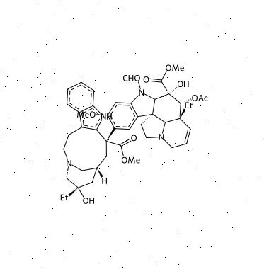 CC[C@]1(O)C[C@@H]2CN(CCc3c([nH]c4ccccc34)[C@@](C(=O)OC)(c3cc4c(cc3OC)N(C=O)C3[C@]45CCN4CC=C[C@](CC)(C45)[C@@H](OC(C)=O)[C@]3(O)C(=O)OC)C2)C1